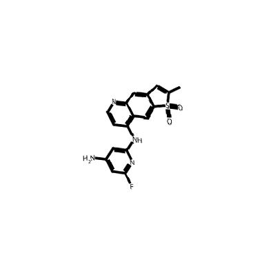 CC1=Cc2cc3nccc(Nc4cc(N)cc(F)n4)c3cc2S1(=O)=O